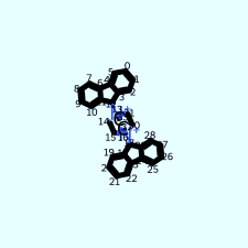 c1ccc2c(c1)-c1ccccc1C2[N+]12CC[N+](C3c4ccccc4-c4ccccc43)(CC1)CC2